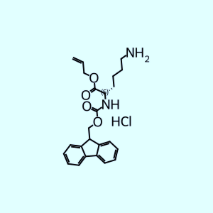 C=CCOC(=O)[C@H](CCCCN)NC(=O)OCC1c2ccccc2-c2ccccc21.Cl